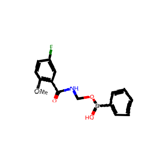 COc1ccc(F)cc1C(=O)NCOB(O)c1ccccc1